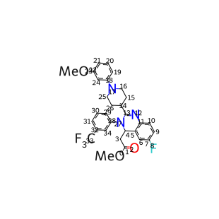 COC(=O)CC1c2cc(F)ccc2N=C(C2CCN(c3cccc(OC)c3)CC2)N1c1cccc(C(F)(F)F)c1